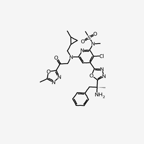 Cc1nnc(C(=O)CN(CC2CC2C)c2cc(-c3nnc([C@@](C)(N)Cc4ccccc4)o3)c(Cl)c(N(C)S(C)(=O)=O)n2)o1